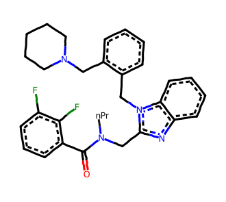 CCCN(Cc1nc2ccccc2n1Cc1ccccc1CN1CCCCC1)C(=O)c1cccc(F)c1F